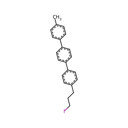 Cc1ccc(-c2ccc(-c3ccc(CCCI)cc3)cc2)cc1